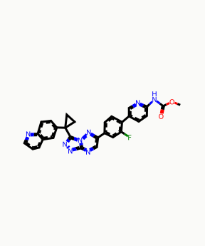 COC(=O)Nc1ccc(-c2ccc(-c3cnc4nnc(C5(c6ccc7ncccc7c6)CC5)n4n3)cc2F)cn1